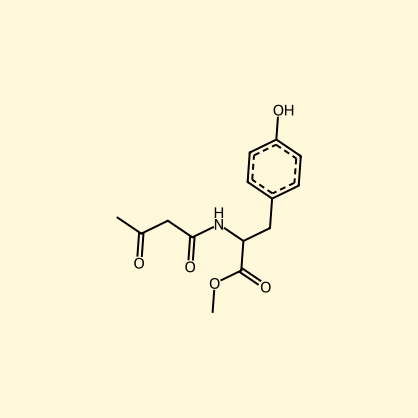 COC(=O)C(Cc1ccc(O)cc1)NC(=O)CC(C)=O